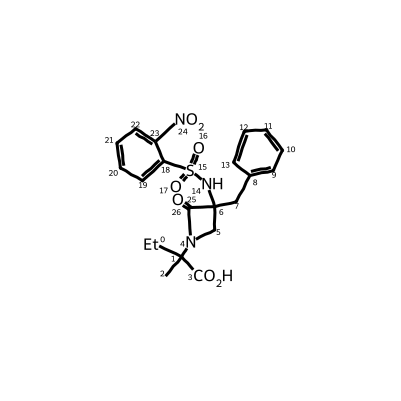 CCC(C)(C(=O)O)N1CC(Cc2ccccc2)(NS(=O)(=O)c2ccccc2[N+](=O)[O-])C1=O